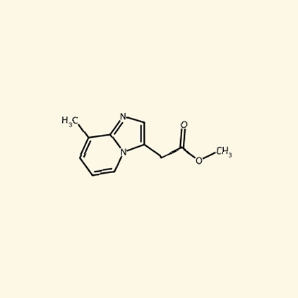 COC(=O)Cc1cnc2c(C)cccn12